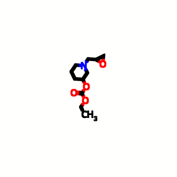 CCOC(=O)OC1CCCN(CC2CO2)C1